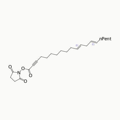 CCCCC/C=C/C/C=C/CCCCCCCC#CC(=O)ON1C(=O)CCC1=O